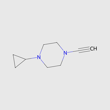 C#CN1CCN(C2CC2)CC1